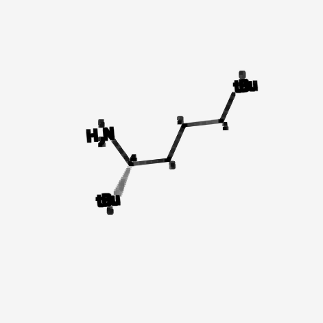 CC(C)(C)CCC[C@@H](N)C(C)(C)C